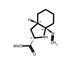 C=N[C@]12CCCC[C@H]1C[C@@H](C(=O)OC)N2